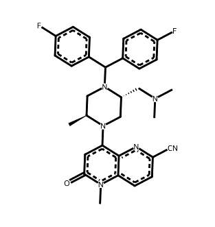 C[C@H]1CN(C(c2ccc(F)cc2)c2ccc(F)cc2)[C@H](CN(C)C)CN1c1cc(=O)n(C)c2ccc(C#N)nc12